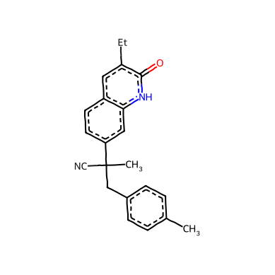 CCc1cc2ccc(C(C)(C#N)Cc3ccc(C)cc3)cc2[nH]c1=O